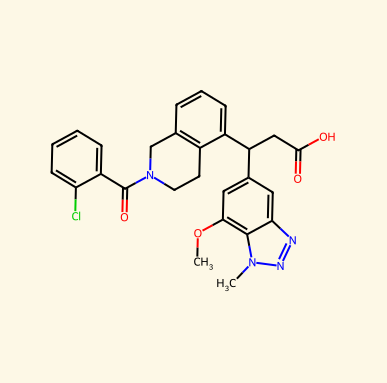 COc1cc(C(CC(=O)O)c2cccc3c2CCN(C(=O)c2ccccc2Cl)C3)cc2nnn(C)c12